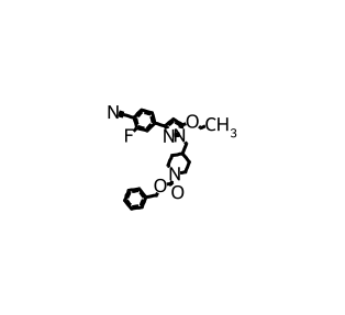 CCOc1cc(-c2ccc(C#N)c(F)c2)nn1CC1CCN(C(=O)OCc2ccccc2)CC1